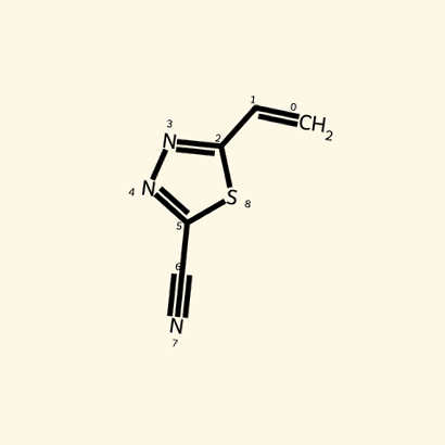 C=Cc1nnc(C#N)s1